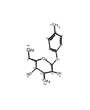 Cc1ccc(SC2OC(CO)C(O)C(O)C2O)cc1